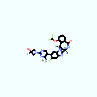 Cc1nc(N2CC(O)(C(F)(F)F)C2)ncc1-c1cc2c(cc1F)nc1n2[C@@H]2C[C@H]1NC(=O)c1cccc(OC(F)F)c12